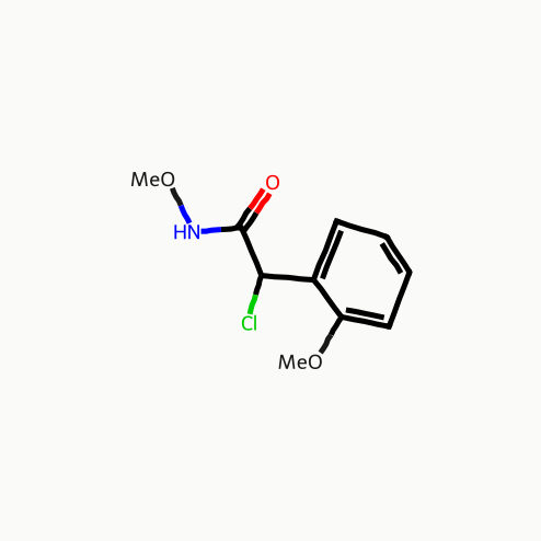 CONC(=O)C(Cl)c1ccccc1OC